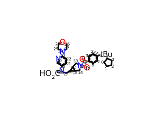 C1CCCC1.CC(C)(C)c1ccc(S(=O)(=O)N2CC3C(CN(C(=O)O)c4ccc(N5CCOCC5)nc4)C3C2)cc1